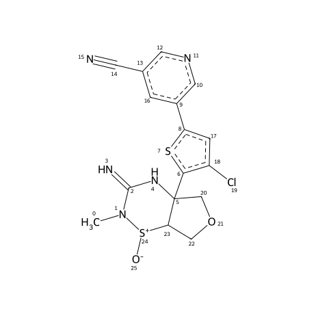 CN1C(=N)NC2(c3sc(-c4cncc(C#N)c4)cc3Cl)COCC2[S+]1[O-]